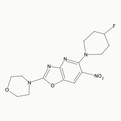 O=[N+]([O-])c1cc2oc(N3CCOCC3)nc2nc1N1CCC(F)CC1